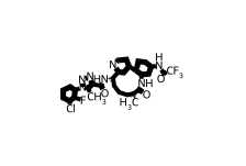 Cc1c(C(=O)N[C@H]2CCC[C@@H](C)C(=O)Nc3cc(NC(=O)C(F)(F)F)ccc3-c3ccnc2c3)nnn1-c1cccc(Cl)c1F